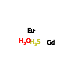 O.S.[Eu].[Gd]